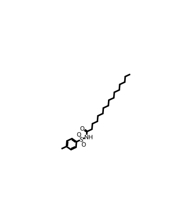 CCCCCCCCCCCCCCCC(=O)NS(=O)(=O)c1ccc(C)cc1